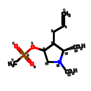 C=CCC1C(OS(C)(=O)=O)CN(C(=O)O)[C@@H]1C(=O)O